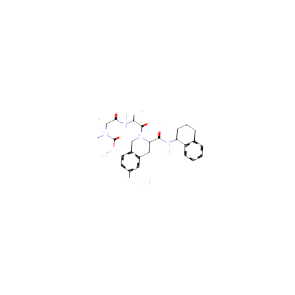 C[C@@H](C(=O)NC(C(=O)N1Cc2ccc(C(=O)O)cc2CC1C(=O)NC1CCCc2ccccc21)C(C)(C)C)N(C)C(=O)OC(C)(C)C